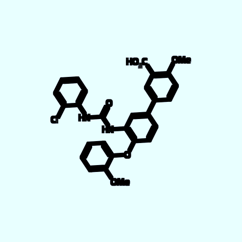 COc1ccccc1Oc1ccc(-c2ccc(OC)c(C(=O)O)c2)cc1NC(=O)Nc1ccccc1Cl